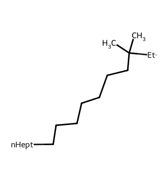 C[CH]C(C)(C)CCCCCCCCCCCCCC